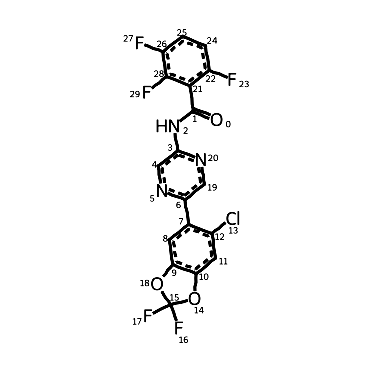 O=C(Nc1cnc(-c2cc3c(cc2Cl)OC(F)(F)O3)cn1)c1c(F)ccc(F)c1F